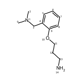 CN(C)Cc1ccccc1OCCCN